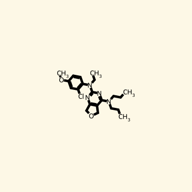 CCCN(CCC)c1nc(N(CC)c2ccc(OC)cc2Cl)nc2c1COC2